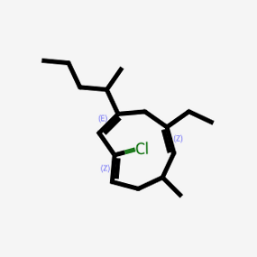 CCCC(C)/C1=C/C(Cl)=C/CC(C)/C=C(/CC)C1